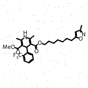 COC(=O)C1=C(C)NC(C)=C(C(=O)OCCCCCCCc2cc(C)no2)C1c1ccccc1C(F)(F)F